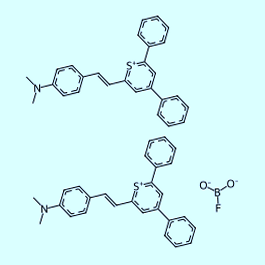 CN(C)c1ccc(C=Cc2cc(-c3ccccc3)cc(-c3ccccc3)[s+]2)cc1.CN(C)c1ccc(C=Cc2cc(-c3ccccc3)cc(-c3ccccc3)[s+]2)cc1.[O-]B([O-])F